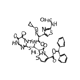 Cn1c(SC(NC(=O)C(=NOC2CC2)c2csc(NC=O)n2)[C@H]2C(=O)N3C(C(=O)OC(c4ccccc4)c4ccccc4)=CCS[C@@H]23)n[nH]c(=O)c1=O